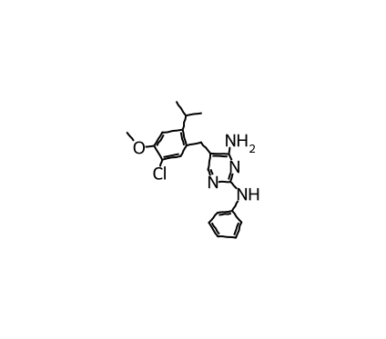 COc1cc(C(C)C)c(Cc2cnc(Nc3ccccc3)nc2N)cc1Cl